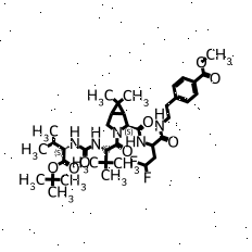 COC(=O)c1ccc(CCNC(=O)C(CC(F)F)NC(=O)[C@@H]2C3C(CN2C(=O)[C@@H](NC(=O)N[C@H](C(=O)OC(C)(C)C)C(C)C)C(C)(C)C)C3(C)C)cc1